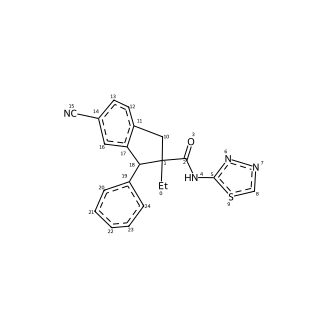 CCC1(C(=O)Nc2nncs2)Cc2ccc(C#N)cc2C1c1ccccc1